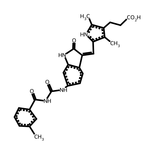 Cc1cccc(C(=O)NC(=O)Nc2ccc3c(c2)NC(=O)/C3=C\c2[nH]c(C)c(CCC(=O)O)c2C)c1